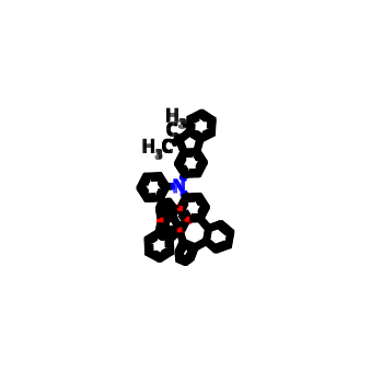 CC1(C)c2ccccc2-c2ccc(N(c3ccc4c(c3)C3(c5ccccc5-c5ccccc53)c3ccccc3C3C=CC=CC43)c3ccccc3-c3ccccc3)cc21